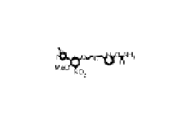 COc1c(-c2cnn(C)c2)cc(OCCOCc2cccc(OC(N)=O)n2)cc1[N+](=O)[O-]